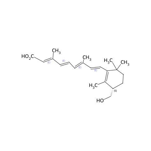 CC1=C(/C=C/C(C)=C/C=C/C(C)=C/C(=O)O)C(C)(C)CC[C@@H]1CO